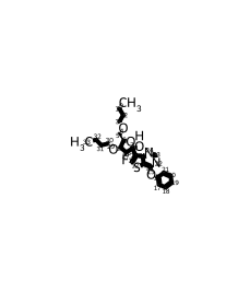 CCCCOC[C@H]1OC(O)(c2csc3c(Oc4ccccc4)ncnc23)[C@H](F)[C@@H]1OCCCC